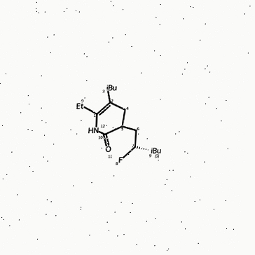 CCC1=C(C(C)CC)CC(CC(F)[C@@H](C)CC)C(=O)N1